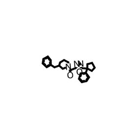 O=C(c1nnc(C2(c3ccccc3)CCCC2)o1)N1CCCC(Cc2ccccc2)C1